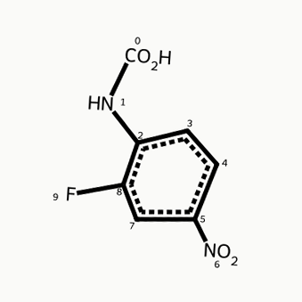 O=C(O)Nc1ccc([N+](=O)[O-])cc1F